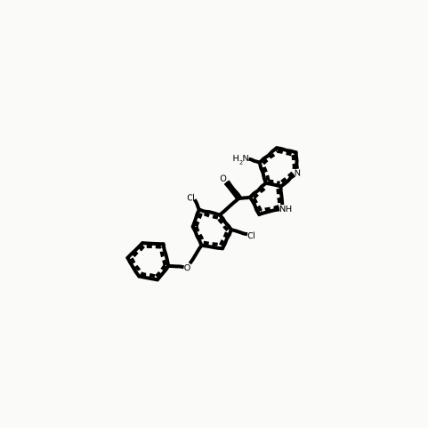 Nc1ccnc2[nH]cc(C(=O)c3c(Cl)cc(Oc4ccccc4)cc3Cl)c12